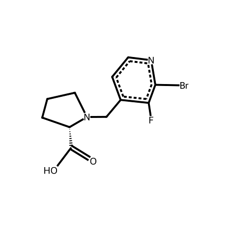 O=C(O)[C@@H]1CCCN1Cc1ccnc(Br)c1F